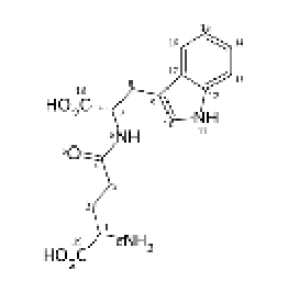 NC(CCC(=O)N[C@@H](Cc1c[nH]c2ccccc12)C(=O)O)C(=O)O